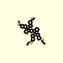 C#CCOc1ccc2cc(C3(c4ccc5cc(OCC#C)ccc5c4)c4ccccc4-c4cc5c(cc43)-c3ccccc3C5(c3ccc4cc(OCC)ccc4c3)c3ccc4cc(OCC)ccc4c3)ccc2c1